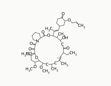 C=CCOC1CC(C=C(C)C2OC(=O)C3CCCCN3C(=O)C(=O)C3(O)OC(C(OC)CC(C)C/C(C)=C/C(CC)C(=O)CC(O)C2C)C(OC)CC3C)CCC1=O